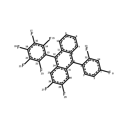 Fc1ccc(-c2c3ccccc3c(-c3c(F)c(F)c(F)c(F)c3F)c3cc(F)c(F)cc23)c(F)c1